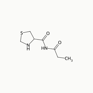 CCC(=O)NC(=O)C1CSCN1